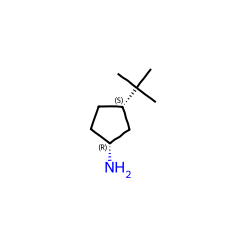 CC(C)(C)[C@H]1CC[C@@H](N)C1